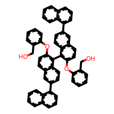 OCc1ccccc1Oc1ccc2cc(-c3cccc4ccccc34)ccc2c1-c1c(Oc2ccccc2CO)ccc2cc(-c3cccc4ccccc34)ccc12